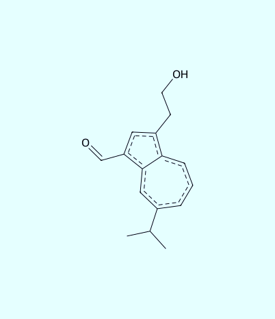 CC(C)c1cccc2c(CCO)cc(C=O)c-2c1